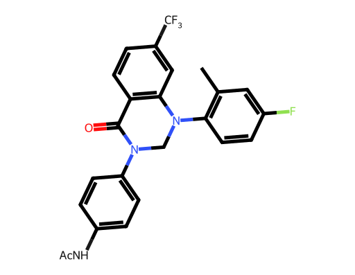 CC(=O)Nc1ccc(N2CN(c3ccc(F)cc3C)c3cc(C(F)(F)F)ccc3C2=O)cc1